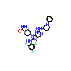 NC(=O)[C@H]1CC[C@@H](n2c(Nc3c(F)cc(F)cc3Cl)nc3cnc(N[C@@H]4CCCN(c5ccccc5)C4)nc32)CC1